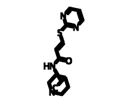 O=C(C=CSc1ncccn1)NC1CN2CCC1CC2